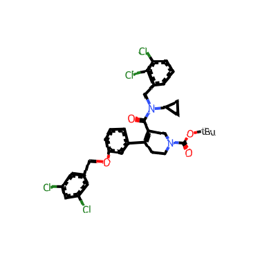 CC(C)(C)OC(=O)N1CCC(c2cccc(OCc3cc(Cl)cc(Cl)c3)c2)=C(C(=O)N(Cc2cccc(Cl)c2Cl)C2CC2)C1